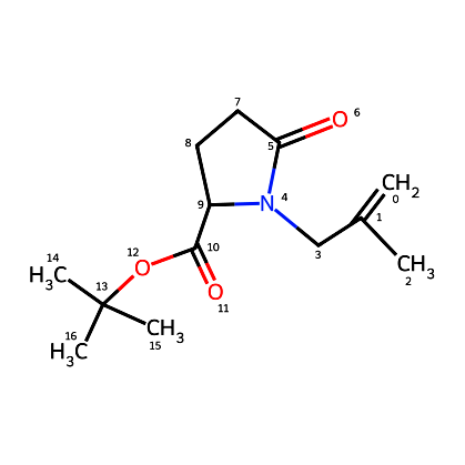 C=C(C)CN1C(=O)CCC1C(=O)OC(C)(C)C